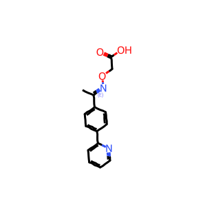 C/C(=N\OCC(=O)O)c1ccc(-c2ccccn2)cc1